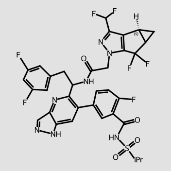 CC(C)S(=O)(=O)NC(=O)c1cc(-c2cc3[nH]ncc3nc2C(Cc2cc(F)cc(F)c2)NC(=O)Cn2nc(C(F)F)c3c2C(F)(F)C2C[C@H]32)ccc1F